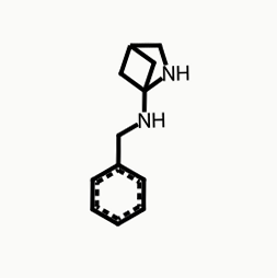 c1ccc(CNC23CC(CN2)C3)cc1